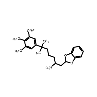 COc1cc(C(C)(C#N)CCCC(CC2Oc3ccccc3O2)[N+](=O)[O-])cc(OC)c1OC